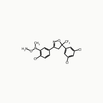 CN(ON)c1cc(C2=NOC(c3cc(Cl)cc(Cl)c3)(C(F)(F)F)C2)ccc1Cl